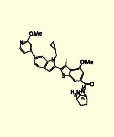 COc1cc(-c2ccc3cc(-c4sc5cc(C(=O)N6CC7CCC6[C@@H]7N)cc(OC)c5c4C)n(CC4CC4)c3c2)ccn1